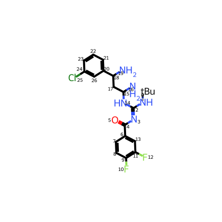 CC(C)(C)N/C(=N/C(=O)c1ccc(F)c(F)c1)NC(N)CC(N)c1cccc(Cl)c1